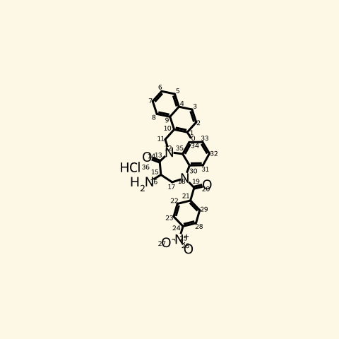 Cc1ccc2ccccc2c1CN1C(=O)C(N)CN(C(=O)c2ccc([N+](=O)[O-])cc2)c2ccccc21.Cl